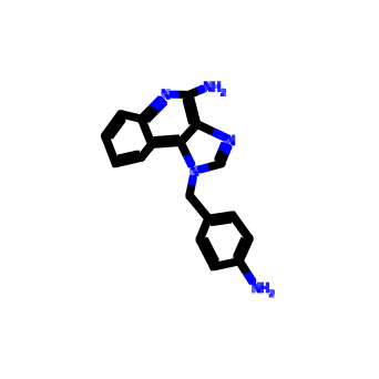 Nc1ccc(Cn2[c]nc3c(N)nc4ccccc4c32)cc1